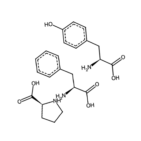 N[C@@H](Cc1ccc(O)cc1)C(=O)O.N[C@@H](Cc1ccccc1)C(=O)O.O=C(O)[C@@H]1CCCN1